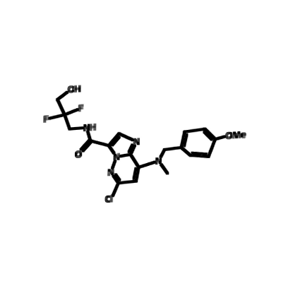 COc1ccc(CN(C)c2cc(Cl)nn3c(C(=O)NCC(F)(F)CO)cnc23)cc1